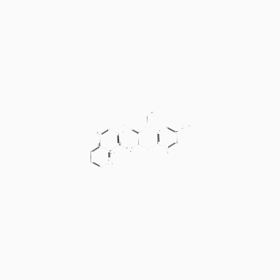 CCOC(=O)C(Cc1ccc(O)cc1)Nc1cccc2cccnc12